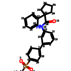 CNS(=O)(=O)c1ccc(-c2cccc(NC(=O)C3(c4ccccc4)CCCC3)c2)cc1